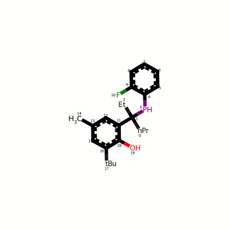 CCCC(CC)(Pc1ccccc1F)c1cc(C)cc(C(C)(C)C)c1O